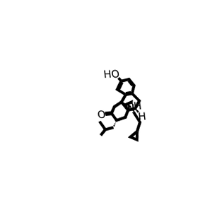 CC(C)C[C@H]1C[C@@]2(O)[C@H]3Cc4ccc(O)cc4[C@@]2(CCN3CC2CC2)CC1=O